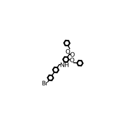 O=C(OCc1ccccc1)c1ccc(NCc2ccc(-c3ccc(Br)cc3)cc2)cc1OCc1ccccc1